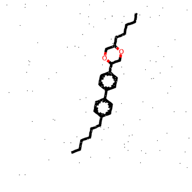 CCCCCCc1ccc(-c2ccc(C3COC(CCCCC)CO3)cc2)cc1